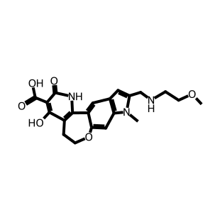 COCCNCc1cc2cc3c(cc2n1C)OCCc1c-3[nH]c(=O)c(C(=O)O)c1O